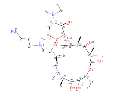 CC[C@H]1OC(=O)[C@@](C)(F)C(=O)[C@H](C)[C@@H](O[C@@H]2O[C@H](C)C[C@H](N(C)CC)[C@H]2O)[C@@]2(C)C[C@H](CN(C)[C@H](C)[C@@H](O)[C@]1(C)O)C(CNCCCN)O2